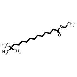 [CH2]CSC(=O)CCCCCCCCCCCC(C)(C)C